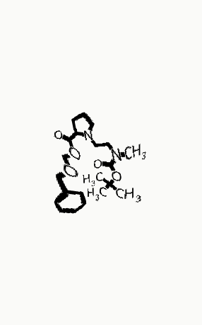 CN(CCN1CCCC1C(=O)OCOCc1ccccc1)C(=O)OC(C)(C)C